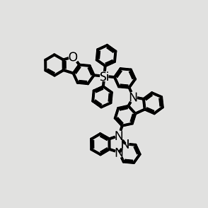 C1=CN2c3ccccc3N(c3ccc4c(c3)c3ccccc3n4-c3cccc([Si](c4ccccc4)(c4ccccc4)c4ccc5c6c(oc5c4)CCC=C6)c3)N2C=C1